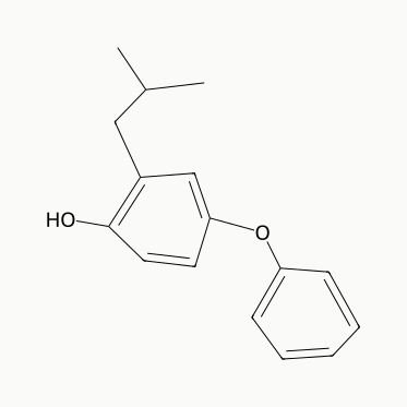 CC(C)Cc1cc(Oc2ccccc2)ccc1O